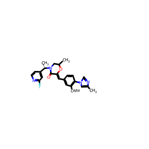 COc1cc(C=C2OC(C)CN([C@@H](C)c3ccnc(F)c3)C2=O)ccc1-n1cnc(C)c1